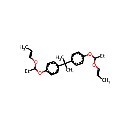 CC=COC(CC)Oc1ccc(C(C)(C)c2ccc(OC(CC)OC=CC)cc2)cc1